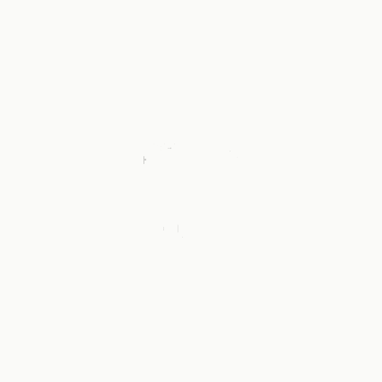 C=CCC(CCCC)C(=O)[O-].[K+]